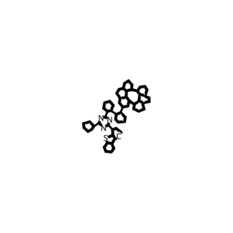 c1ccc(-c2nc(-c3ccccc3-c3ccccc3-c3cc4ccc5cccc6c7cccc8ccc9cccc(c(c3)c4c56)c9c87)nc(-c3cccc4c3sc3ccccc34)n2)cc1